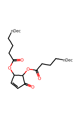 CCCCCCCCCCCCCC(=O)OC1C=CC(=O)C1OC(=O)CCCCCCCCCCCCC